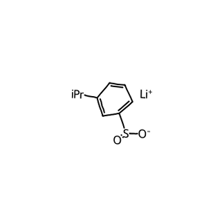 CC(C)c1cccc(S(=O)[O-])c1.[Li+]